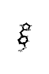 COc1ccc(CC2NCCN2)cc1